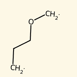 [CH2]CCO[CH2]